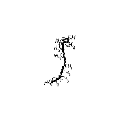 CC1=C(/C=C/C(C)=C/C=C/C(C)=C/C=C/C=C(C)/C=C/C=C(C)/C=C/C=C(\C)CCCC(C)(C)O)C(C)(C)C[C@H](O)C1